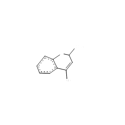 CCCC1=CC(C(=O)O)Oc2ccccc21